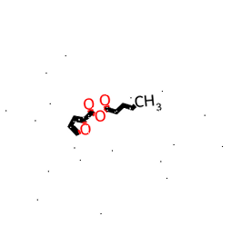 CCCCC(=O)OC(=O)c1ccco1